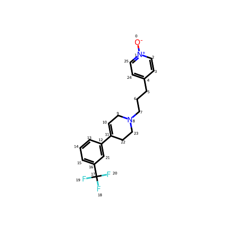 [O-][n+]1ccc(CCCN2CC=C(c3cccc(C(F)(F)F)c3)CC2)cc1